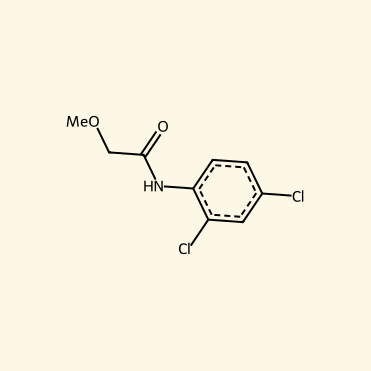 COCC(=O)Nc1ccc(Cl)cc1Cl